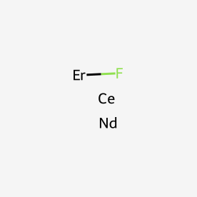 [Ce].[F][Er].[Nd]